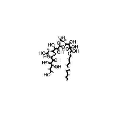 CCCCSCCCCO[C@H](O)C(O)(O)C(O)[C@@H](CCO)O[C@H](O)[C@@H](O)C(O)[C@H](CCO)O[C@@H](O)[C@@H](O)C(O)[C@@H](O)CCO